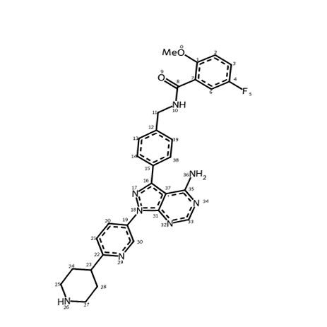 COc1ccc(F)cc1C(=O)NCc1ccc(-c2nn(-c3ccc(C4CCNCC4)nc3)c3ncnc(N)c23)cc1